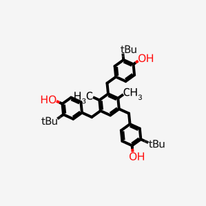 Cc1c(Cc2ccc(O)c(C(C)(C)C)c2)cc(Cc2ccc(O)c(C(C)(C)C)c2)c(C)c1Cc1ccc(O)c(C(C)(C)C)c1